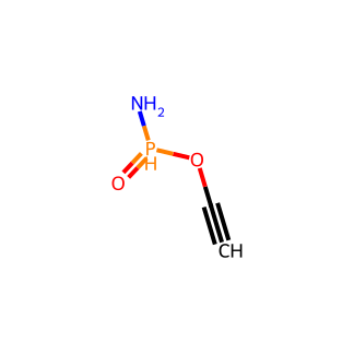 C#CO[PH](N)=O